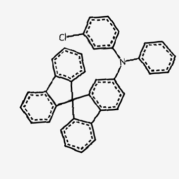 Clc1cccc(N(c2ccccc2)c2ccc3c(c2)C2(c4ccccc4-c4ccccc42)c2ccccc2-3)c1